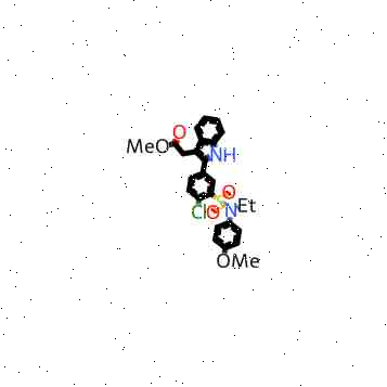 CCN(c1ccc(OC)cc1)S(=O)(=O)c1cc(-c2[nH]c3ccccc3c2CC(=O)OC)ccc1Cl